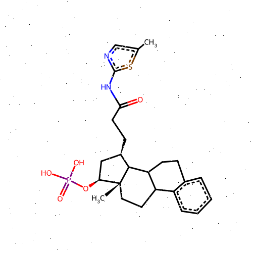 Cc1cnc(NC(=O)CC[C@@H]2C[C@H](OP(=O)(O)O)[C@@]3(C)CCC4c5ccccc5CCC4C23)s1